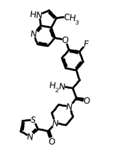 Cc1c[nH]c2nccc(Oc3ccc(CC(N)C(=O)N4CCN(C(=O)c5nccs5)CC4)cc3F)c12